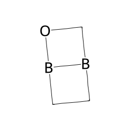 C1CB2OCB12